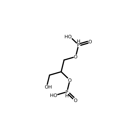 O=[PH](O)OCC(CO)O[PH](=O)O